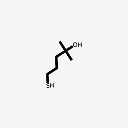 CC(C)(O)CCCS